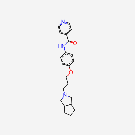 O=C(Nc1ccc(OCCCN2CC3CCCC3C2)cc1)c1ccncc1